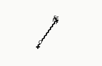 CC(C)(C)CCOCCCCCCCCCCCCCCC(C)(F)C(F)(F)F